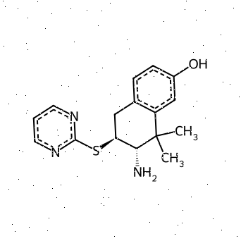 CC1(C)c2cc(O)ccc2C[C@H](Sc2ncccn2)[C@H]1N